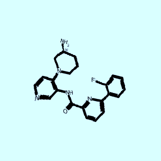 N[C@H]1CCCN(c2ccncc2NC(=O)c2cccc(-c3ccccc3F)n2)C1